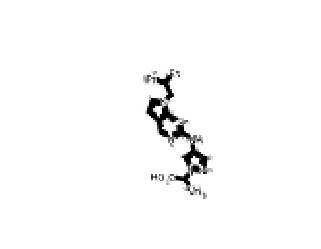 CCC(Cn1ccc2cnc(Nc3cnn(C(C)C(=O)O)c3)nc21)C(C)C